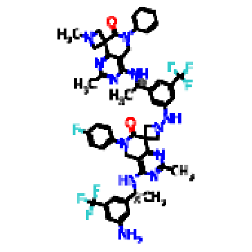 Cc1nc(N[C@H](C)c2cc(NN3CC4(C3)C(=O)N(c3ccc(F)cc3)Cc3c(N[C@H](C)c5cc(N)cc(C(F)(F)F)c5)nc(C)nc34)cc(C(F)(F)F)c2)c2c(n1)C1(CN(C)C1)C(=O)N(c1ccccc1)C2